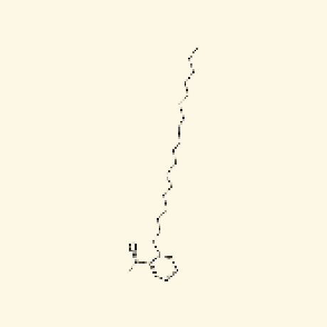 CCCCCCCCCCCCCCCCCCc1ccccc1C(C)=O